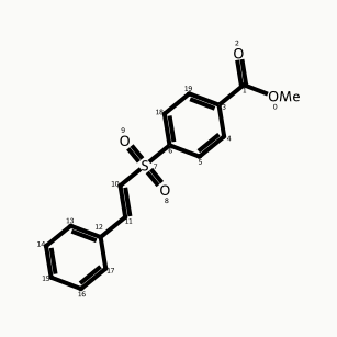 COC(=O)c1ccc(S(=O)(=O)C=Cc2ccccc2)cc1